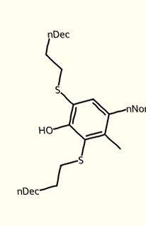 CCCCCCCCCCCCSc1cc(CCCCCCCCC)c(C)c(SCCCCCCCCCCCC)c1O